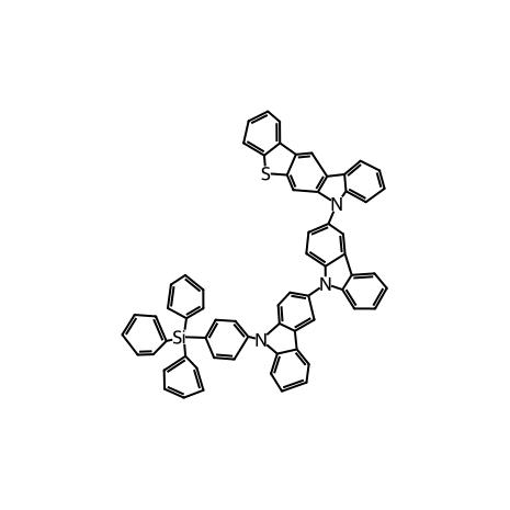 c1ccc([Si](c2ccccc2)(c2ccccc2)c2ccc(-n3c4ccccc4c4cc(-n5c6ccccc6c6cc(-n7c8ccccc8c8cc9c(cc87)sc7ccccc79)ccc65)ccc43)cc2)cc1